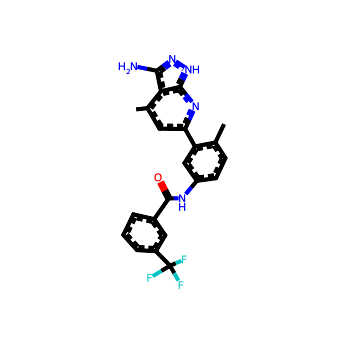 Cc1ccc(NC(=O)c2cccc(C(F)(F)F)c2)cc1-c1cc(C)c2c(N)n[nH]c2n1